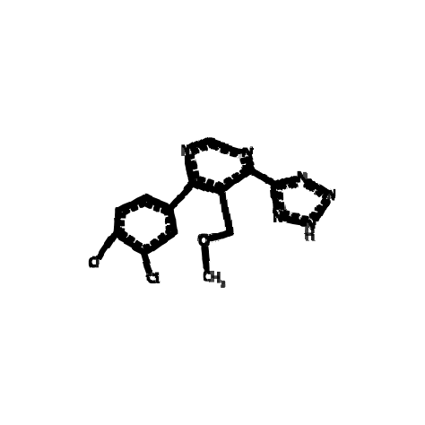 COCc1c(-c2ccc(Cl)c(Cl)c2)ncnc1-c1nn[nH]n1